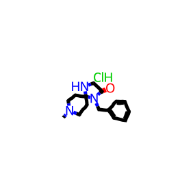 CN1CCC2(CC1)NCC(=O)N2Cc1ccccc1.Cl